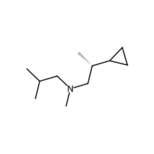 CC(C)CN(C)C[C@H](C)C1CC1